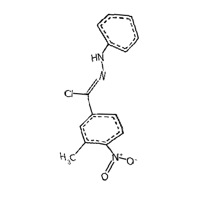 Cc1cc(C(Cl)=NNc2ccccc2)ccc1[N+](=O)[O-]